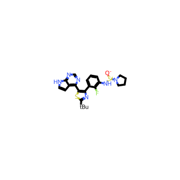 CC(C)(C)c1nc(-c2cccc(N[S+]([O-])N3CCCC3)c2F)c(-c2ncnc3[nH]ccc23)s1